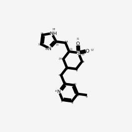 Cc1ccnc(CC2CCS(=O)(=O)C(Cc3ncc[nH]3)C2)c1